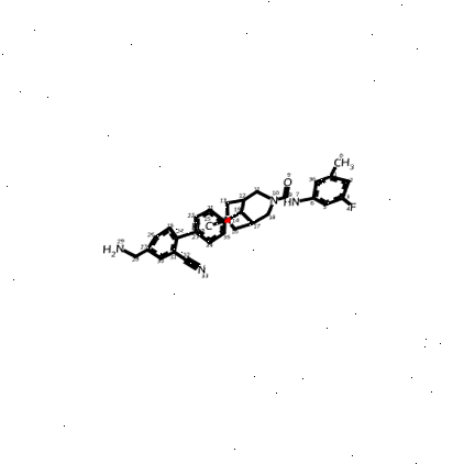 Cc1cc(F)cc(NC(=O)N2CC3CN(C)CC(C2)C3c2ccc(-c3ccc(CN)cc3C#N)cc2)c1